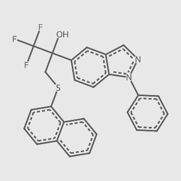 OC(CSc1cccc2ccccc12)(c1ccc2c(cnn2-c2ccccc2)c1)C(F)(F)F